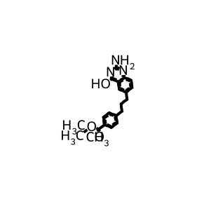 CC(C)(C)OC(=O)c1ccc(CCCc2ccc3nc(N)nc(O)c3c2)cc1